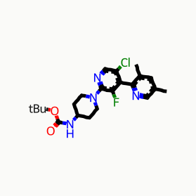 Cc1cnc(-c2c(Cl)cnc(N3CCC(NC(=O)OC(C)(C)C)CC3)c2F)c(C)c1